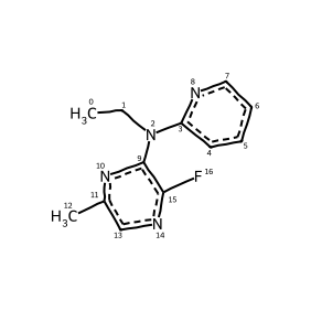 CCN(c1ccccn1)c1nc(C)cnc1F